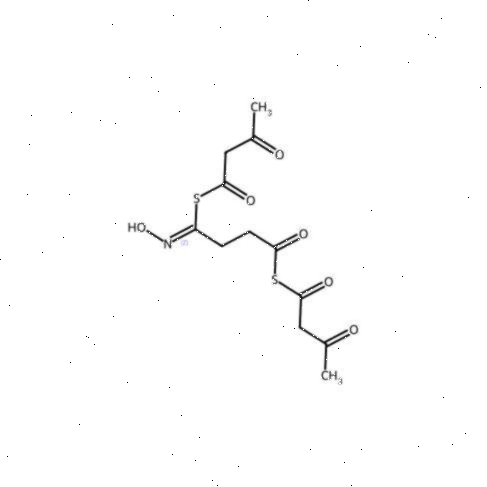 CC(=O)CC(=O)SC(=O)CC/C(=N/O)SC(=O)CC(C)=O